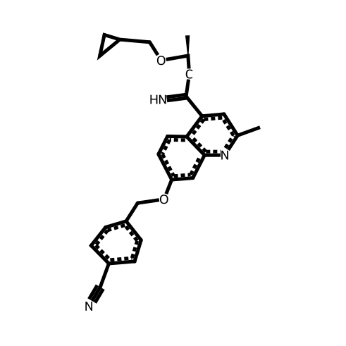 Cc1cc(C(=N)C[C@H](C)OCC2CC2)c2ccc(OCc3ccc(C#N)cc3)cc2n1